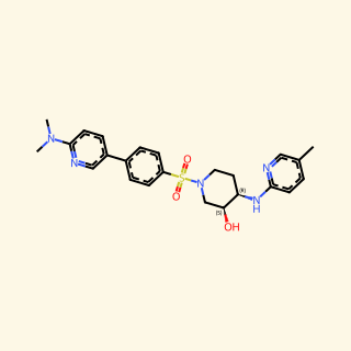 Cc1ccc(N[C@@H]2CCN(S(=O)(=O)c3ccc(-c4ccc(N(C)C)nc4)cc3)C[C@@H]2O)nc1